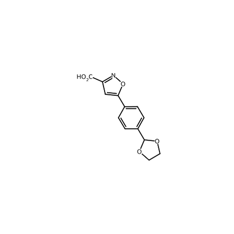 O=C(O)c1cc(-c2ccc(C3OCCO3)cc2)on1